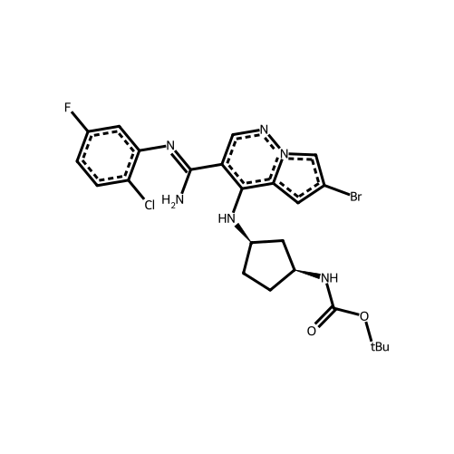 CC(C)(C)OC(=O)N[C@H]1CC[C@@H](Nc2c(/C(N)=N/c3cc(F)ccc3Cl)cnn3cc(Br)cc23)C1